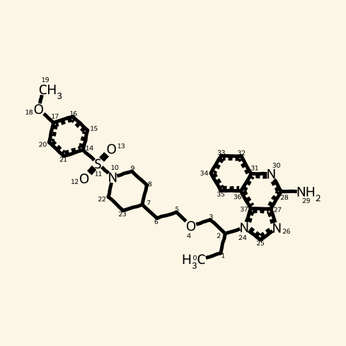 CCC(COCCC1CCN(S(=O)(=O)c2ccc(OC)cc2)CC1)n1cnc2c(N)nc3ccccc3c21